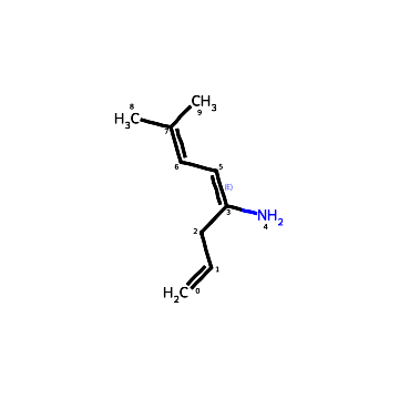 C=CC/C(N)=C\C=C(C)C